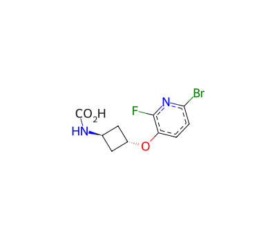 O=C(O)N[C@H]1C[C@H](Oc2ccc(Br)nc2F)C1